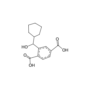 O=C(O)c1ccc(C(=O)O)c(C(O)C2CCCCC2)c1